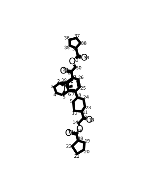 CN1C2CCC1c1c(C3CCC(C(=O)COC(=O)C4CCCC4)CC3)ccc(C(=O)COC(=O)C3CCCC3)c12